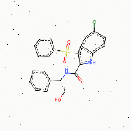 O=C(N[C@H](CO)c1ccccc1)c1[nH]c2ccc(Cl)cc2c1S(=O)(=O)c1ccccc1